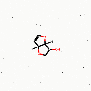 OC1CO[C@@H]2C=CO[C@H]12